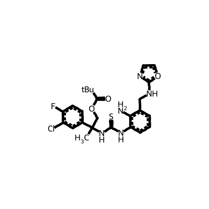 CC(C)(C)C(=O)OCC(C)(NC(=S)Nc1cccc(CNc2ncco2)c1N)c1ccc(F)c(Cl)c1